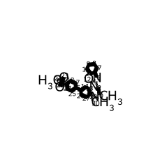 CC1CN(c2nc3ccccc3o2)c2cc(-c3ccc(S(C)(=O)=O)cc3)ccc2N1C